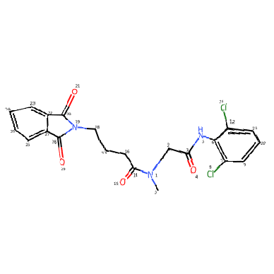 CN(CC(=O)Nc1c(Cl)cccc1Cl)C(=O)CCCN1C(=O)c2ccccc2C1=O